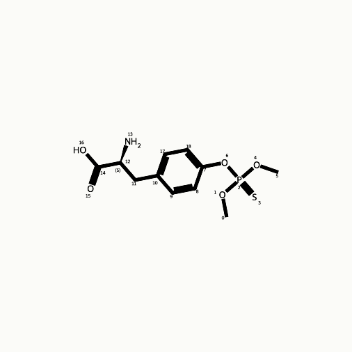 COP(=S)(OC)Oc1ccc(C[C@H](N)C(=O)O)cc1